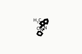 Cc1cc2c(=O)n(C3CCCCC3)cnc2c2ccccc12